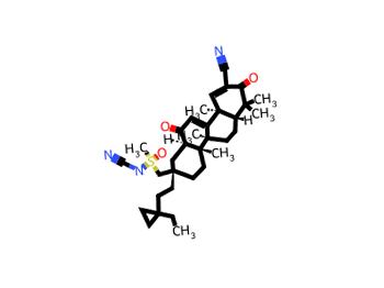 CCC1(CC[C@]2(CS(C)(=O)=NC#N)CC[C@]3(C)[C@@H](C2)C(=O)C=C2[C@@]4(C)C=C(C#N)C(=O)C(C)(C)[C@@H]4CC[C@]23C)CC1